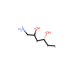 CC[C@@H](O)CC(O)CN